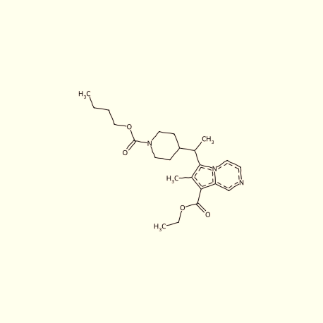 CCCCOC(=O)N1CCC(C(C)c2c(C)c(C(=O)OCC)c3cnccn23)CC1